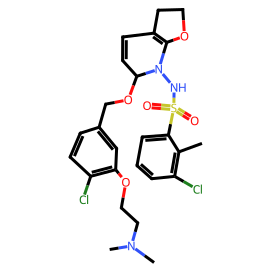 Cc1c(Cl)cccc1S(=O)(=O)NN1C2=C(C=CC1OCc1ccc(Cl)c(OCCN(C)C)c1)CCO2